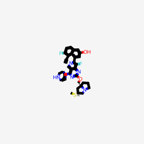 C#Cc1c(F)ccc2cc(O)cc(-c3ncc4c(N5CC6CCCC5CN6)nc(OC[C@]56CCCN5C[C@H](SC)C6)nc4c3F)c12